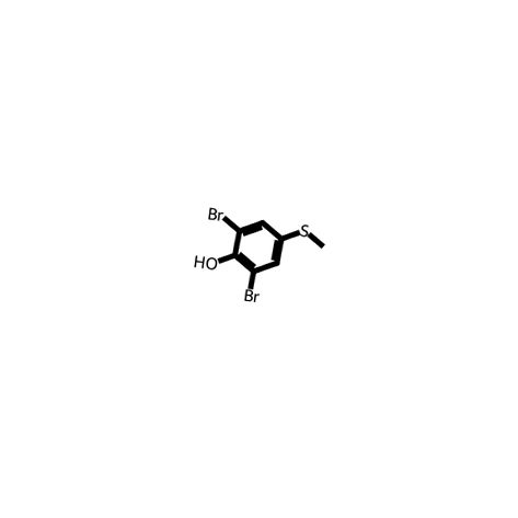 CSc1cc(Br)c(O)c(Br)c1